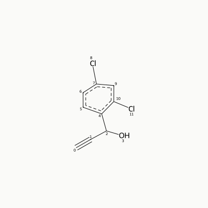 C#CC(O)c1ccc(Cl)cc1Cl